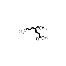 CCCCC(=CCC(=O)O)CC